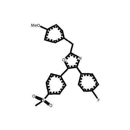 COc1ccc(Cc2nc(-c3ccc(F)cc3)c(-c3ccc(S(C)(=O)=O)cc3)o2)cc1